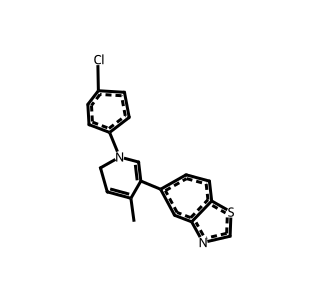 CC1=CCN(c2ccc(Cl)cc2)C=C1c1ccc2scnc2c1